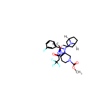 COC(=O)N1CCc2nc(C)n([C@H]3C[C@H]4CC[C@@H](C3)N4CC[C@H](NC(=O)CC(F)(F)F)c3cccc(F)c3)c2C1